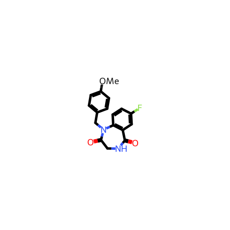 COc1ccc(CN2C(=O)CNC(=O)c3cc(F)ccc32)cc1